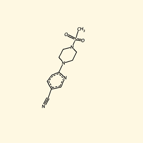 CS(=O)(=O)N1CCN(c2ccc(C#N)cn2)CC1